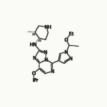 CCOC(C)n1cc(-c2ncc(OC(C)C)c3nc(N[C@H]4CCNC[C@H]4C)nn23)cn1